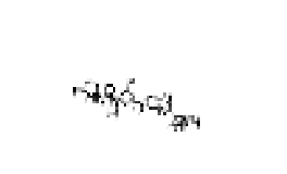 Cc1n[nH]cc1-c1cnc2ccc(Oc3cc(F)cc(NC(=O)Nc4cccc(F)c4)c3)cc2n1